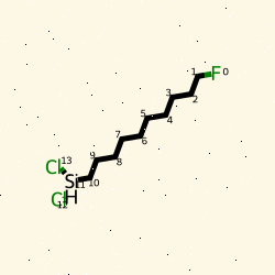 FCCCCCCCCCC[SiH](Cl)Cl